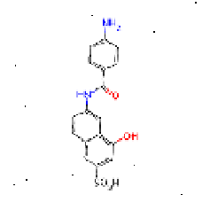 Nc1ccc(C(=O)Nc2ccc3cc(S(=O)(=O)O)cc(O)c3c2)cc1